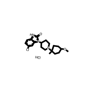 COC1CCC(C)(N2CCC(n3c(=O)[nH]c4ccc(Cl)cc43)CC2)CC1.Cl